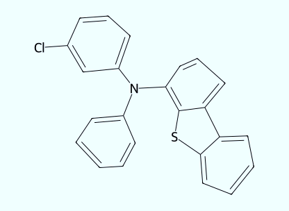 Clc1cccc(N(c2ccccc2)c2cccc3c2sc2ccccc23)c1